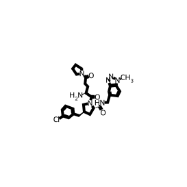 Cn1nnc2cc(CNC(=O)[C@@H]3C[C@@H](Cc4cccc(Cl)c4)CN3C(=O)[C@H](N)CCC(=O)N3CCCC3)ccc21